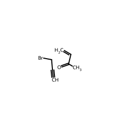 C#CCBr.C=CC(C)=O